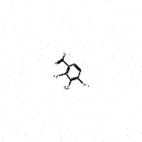 CC(=O)c1ccc(N)c(C)c1C